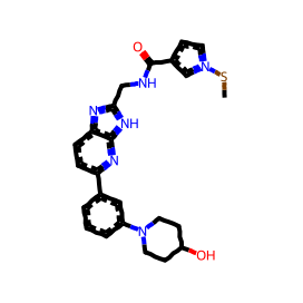 CSn1ccc(C(=O)NCc2nc3ccc(-c4cccc(N5CCC(O)CC5)c4)nc3[nH]2)c1